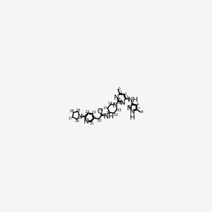 Cc1cc(Nc2cc(C)[nH]n2)nc(N2CCC(NC(=O)Cc3ccc(N4CCCC4)nc3)CC2)n1